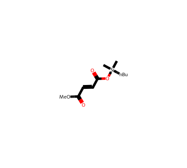 CCCC[Si](C)(C)OC(=O)C=CC(=O)OC